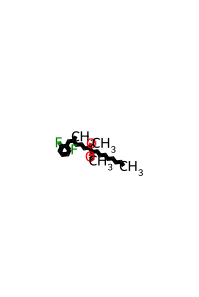 [CH2]C(CCCC(OC)C(CCCCCCCC)OC)Cc1c(F)cccc1F